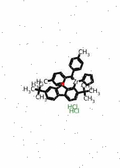 Cc1ccc([C](c2ccc(C)cc2)=[Zr]([C]2=CC=CC2)[c]2c(C(C)(C)C)ccc3c2Cc2cc(C(C)(C)C)ccc2-3)cc1.Cl.Cl